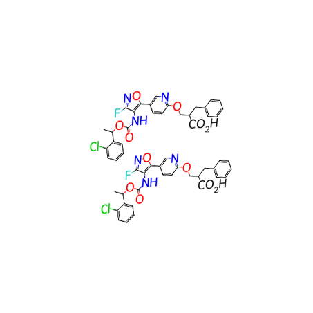 CC(OC(=O)Nc1c(F)noc1-c1ccc(OCC(Cc2ccccc2)C(=O)O)nc1)c1ccccc1Cl.CC(OC(=O)Nc1c(F)noc1-c1ccc(OCC(Cc2ccccc2)C(=O)O)nc1)c1ccccc1Cl